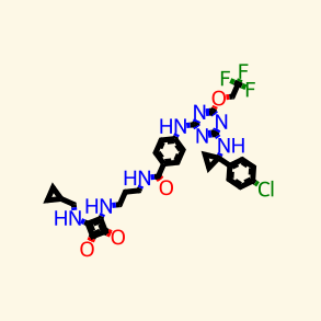 O=C(NCCCNc1c(NCC2CC2)c(=O)c1=O)c1ccc(Nc2nc(NC3(c4ccc(Cl)cc4)CC3)nc(OCC(F)(F)F)n2)cc1